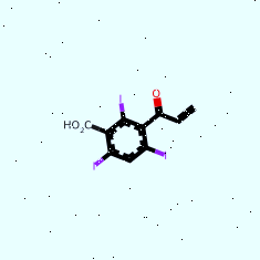 C=CC(=O)c1c(I)cc(I)c(C(=O)O)c1I